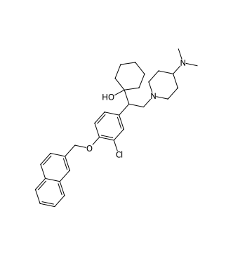 CN(C)C1CCN(CC(c2ccc(OCc3ccc4ccccc4c3)c(Cl)c2)C2(O)CCCCC2)CC1